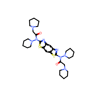 O=C(CN1CCCCC1)N(c1nc2cc3nc(N(C(=O)CN4CCCCC4)N4CCCCC4)sc3cc2s1)N1CCCCC1